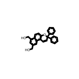 OCc1cc(CO)c2ccc3c(c2c1)C=CC(c1ccccc1)(c1ccccc1)O3